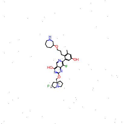 Cc1cc(O)cc(-c2ncc3c(O)nc(OC[C@@]45CCCN4C[C@H](F)C5)nc3c2F)c1CCCOC1CCCCNC1